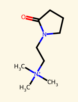 C[N+](C)(C)CCN1CCCC1=O